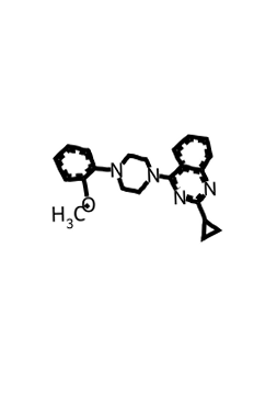 COc1ccccc1N1CCN(c2nc(C3CC3)nc3ccccc23)CC1